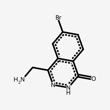 NCc1n[nH]c(=O)c2ccc(Br)cc12